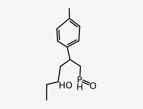 CCCCC(C[PH](=O)O)c1ccc(C)cc1